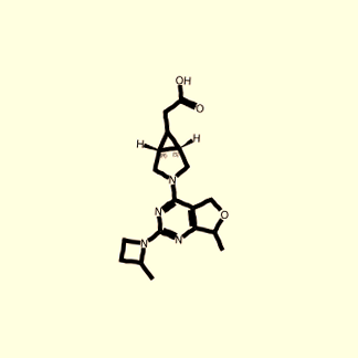 CC1OCc2c1nc(N1CCC1C)nc2N1C[C@@H]2C(CC(=O)O)[C@@H]2C1